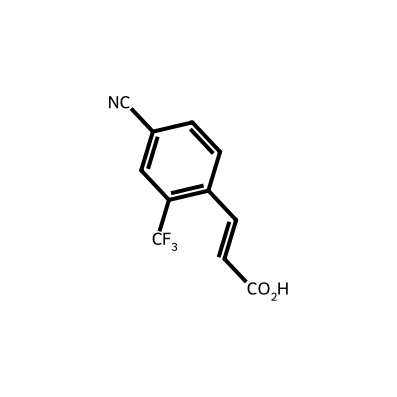 N#Cc1ccc(C=CC(=O)O)c(C(F)(F)F)c1